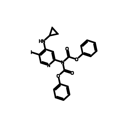 O=C(Oc1ccccc1)N(C(=O)Oc1ccccc1)c1cc(NC2CC2)c(I)cn1